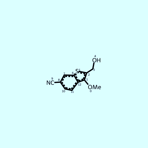 COc1c(CO)sc2cc(C#N)ccc12